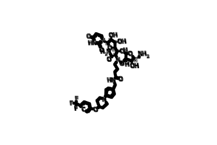 NC[C@H]1O[C@H]2O[C@H]([C@H]3O[C@@H](n4ccc(=O)[nH]c4=O)[C@H](O)[C@@H]3O)[C@H](C(N)=O)N(CCCC(=O)NCc3ccc(N4CCC(Oc5ccc(C(F)(F)F)cc5)CC4)cc3)O[C@@H]2[C@@H]1O